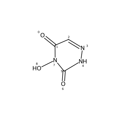 O=c1cn[nH]c(=O)n1O